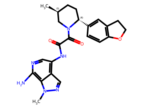 C[C@H]1CC[C@H](c2ccc3c(c2)CCO3)N(C(=O)C(=O)Nc2cnc(N)c3c2cnn3C)C1